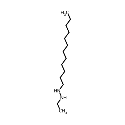 CCCCCCCCCCCCNNCC